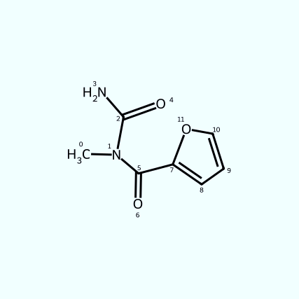 CN(C(N)=O)C(=O)c1ccco1